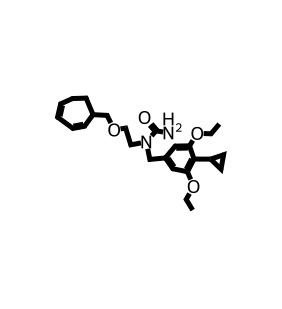 CCOc1cc(CN(CCOCC2C=CC=CCC2)C(N)=O)cc(OCC)c1C1CC1